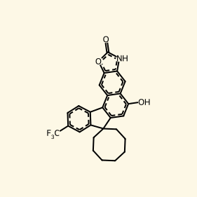 O=c1[nH]c2cc3c(O)cc4c(c3cc2o1)-c1ccc(C(F)(F)F)cc1C41CCCCCCC1